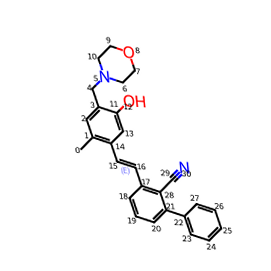 Cc1cc(CN2CCOCC2)c(O)cc1/C=C/c1cccc(-c2ccccc2)c1C#N